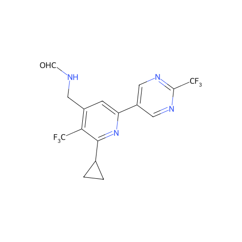 O=CNCc1cc(-c2cnc(C(F)(F)F)nc2)nc(C2CC2)c1C(F)(F)F